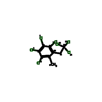 Cc1c(Cl)c(Cl)c(Cl)c(Cl)c1C[Si](Cl)(Cl)Cl